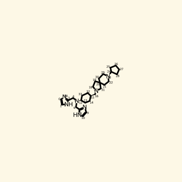 c1c[nH]c(CN(Cc2ncc[nH]2)[C@H]2CC[C@H](CN3CCC4(CCN(C5CCCC5)CC4)C3)CC2)n1